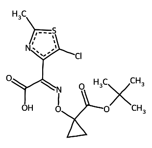 Cc1nc(/C(=N/OC2(C(=O)OC(C)(C)C)CC2)C(=O)O)c(Cl)s1